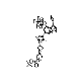 Cc1c(-c2cc(OS(=O)(=O)C(F)(F)F)c3c(C#N)cnn3c2)cnn1C1CN([C@H]2CCN(C(=O)OC(C)(C)C)C2)C1